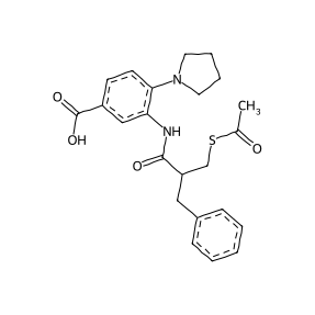 CC(=O)SCC(Cc1ccccc1)C(=O)Nc1cc(C(=O)O)ccc1N1CCCC1